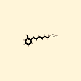 CCCCCCCCCCC=CCCc1ccccc1C